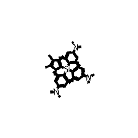 CC1=C(C)C(C)C([Si](c2c(C)cc(N(C)C)cc2C)(c2c(C)cc(N(C)C)cc2C)c2c(C)cc(N(C)C)cc2C)=C1C